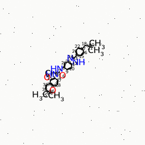 COc1c(NC(=O)Nc2ccc3[nH]c(-c4ccc(CC(C)C)cc4)nc3c2)ccc2c1C=CC(C)(C)O2